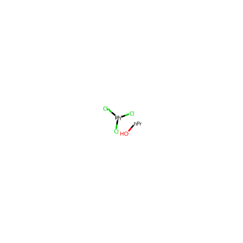 CCCO.[Cl][Rh]([Cl])[Cl]